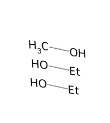 CCO.CCO.CO